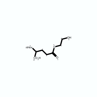 CCCCCCC(CCC(=O)OCCO)C(=O)O